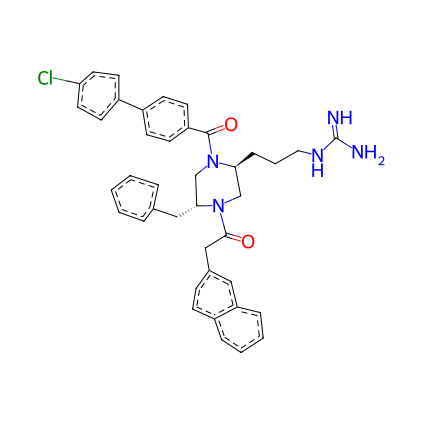 N=C(N)NCCC[C@H]1CN(C(=O)Cc2ccc3ccccc3c2)[C@H](Cc2ccccc2)CN1C(=O)c1ccc(-c2ccc(Cl)cc2)cc1